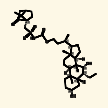 CC[C@H]1[C@@H](O)[C@@H]2[C@H](CC[C@]3(C)[C@@H]([C@H](C)CCOC(=O)NS(=O)(=O)C[C@]45CCC(CC4=O)C5(C)C)CC[C@@H]23)[C@@]2(C)CC[C@@H](O)C[C@@H]12